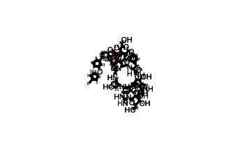 Cc1ccc(Oc2cccc(C3OCC4OC(OC5C(CO)OC(Oc6ccc(CC7NC(=O)C(C(C)c8ccccc8)NC(=O)CNC(=O)C(CO)NC(=O)C(C(O)C8CNC(=N)N8C8OC(CO)C(O)C(O)C8O)NC(=O)C(C(O)C8CNC(=N)N8)NC7=O)cc6)C(O)C5O)C(O)C(O)C4O3)c2)cc1